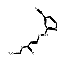 CCOC(=O)/C=C/NNc1cc(C#N)ccn1